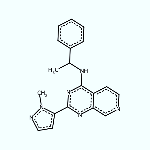 CC(Nc1nc(-c2ccnn2C)nc2cnccc12)c1ccccc1